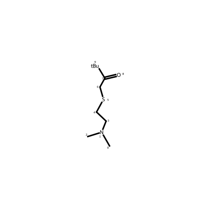 CN(C)CCSCC(=O)C(C)(C)C